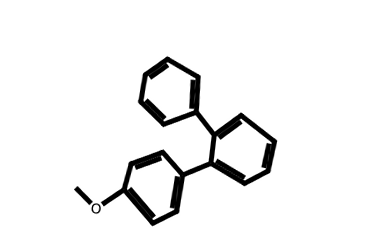 COc1ccc(-c2ccccc2-c2ccccc2)cc1